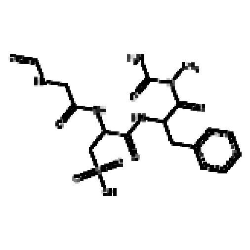 CN(C(N)=O)C(=O)C(Cc1ccccc1)NC(=O)C(CS(=O)(=O)O)NC(=O)CNC=O